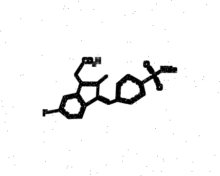 CNS(=O)(=O)c1ccc(C=C2C(C)=C(CC(=O)O)c3cc(F)ccc32)cc1